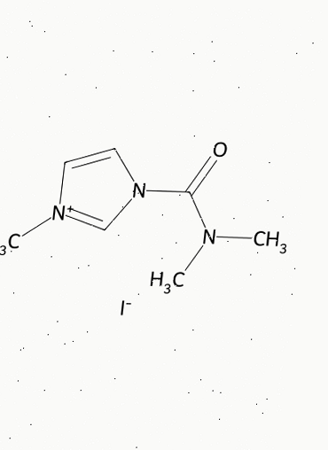 CN(C)C(=O)n1cc[n+](C)c1.[I-]